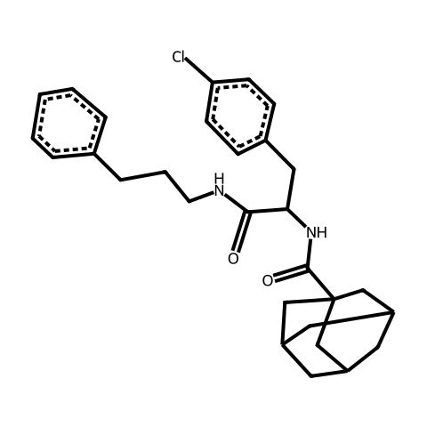 O=C(NCCCc1ccccc1)C(Cc1ccc(Cl)cc1)NC(=O)C12CC3CC(CC(C3)C1)C2